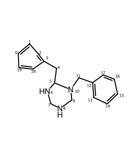 c1ccc(CC2NCNCN2Cc2ccccc2)cc1